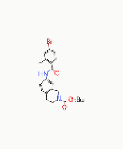 Cc1cc(Br)ccc1C(=O)Nc1ccc2c(c1)CN(C(=O)OC(C)(C)C)CC2